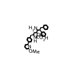 COc1cccc(-c2ccc(C[C@@H](C[C@H](O)[C@@H](N)C(Cc3ccccc3)c3ccccc3)NC(=O)O)cc2)n1